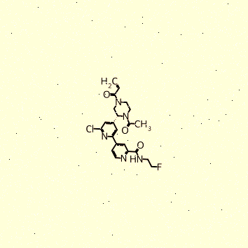 C=CC(=O)N1CCN(C(C)=O)[C@H](c2cc(Cl)nc(-c3ccnc(C(=O)NCCF)c3)c2)C1